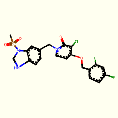 CS(=O)(=O)N1CNc2ccc(Cn3ccc(OCc4ccc(F)cc4F)c(Cl)c3=O)cc21